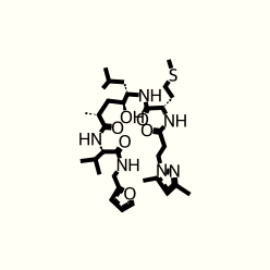 CSCC[C@H](NC(=O)CCn1nc(C)cc1C)C(=O)N[C@@H](CC(C)C)[C@@H](O)C[C@@H](C)C(=O)N[C@H](C(=O)NCc1ccco1)C(C)C